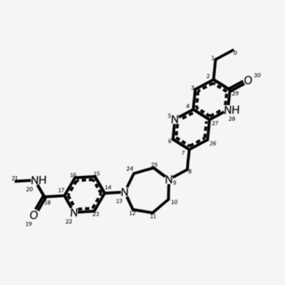 CCc1cc2ncc(CN3CCCN(c4ccc(C(=O)NC)nc4)CC3)cc2[nH]c1=O